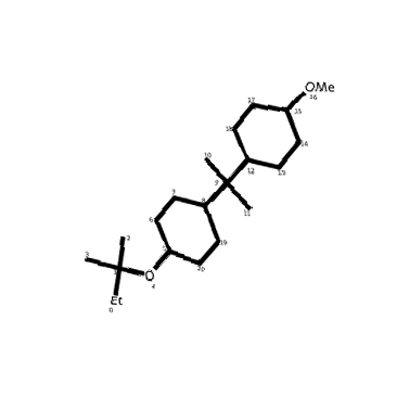 CCC(C)(C)OC1CCC(C(C)(C)C2CCC(OC)CC2)CC1